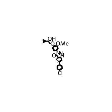 COc1cc(-n2nnc3cc(-c4ccc(Cl)cc4)sc3c2=O)ccc1OCC(O)C1CC1